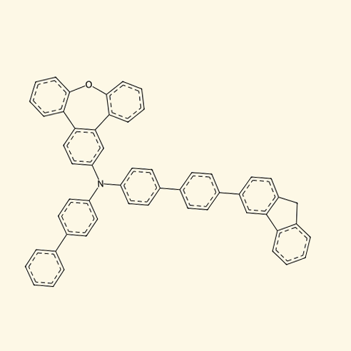 c1ccc(-c2ccc(N(c3ccc(-c4ccc(-c5ccc6c(c5)-c5ccccc5C6)cc4)cc3)c3ccc4c(c3)-c3ccccc3Oc3ccccc3-4)cc2)cc1